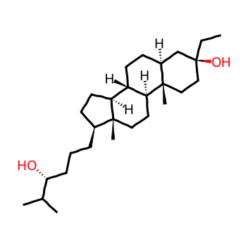 CC[C@]1(O)CC[C@@]2(C)[C@@H](CC[C@@H]3[C@@H]2CC[C@]2(C)[C@@H](CCC[C@@H](O)C(C)C)CC[C@@H]32)C1